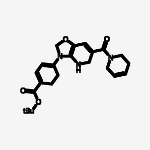 CC(C)(C)OC(=O)C1=CC=C(N2COC3=C2NCC(C(=O)N2CC=CCC2)=C3)CC1